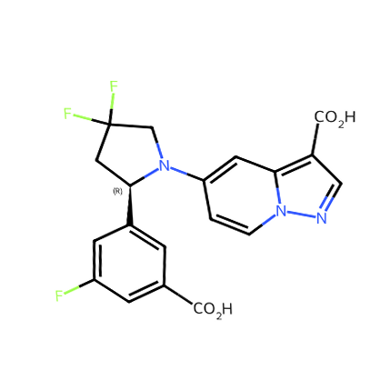 O=C(O)c1cc(F)cc([C@H]2CC(F)(F)CN2c2ccn3ncc(C(=O)O)c3c2)c1